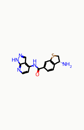 N[C@H]1CSc2cc(C(=O)Nc3ccnc4[nH]ncc34)ccc21